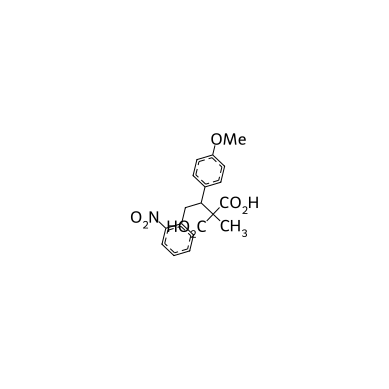 COc1ccc(C(Cc2ccccc2[N+](=O)[O-])C(C)(C(=O)O)C(=O)O)cc1